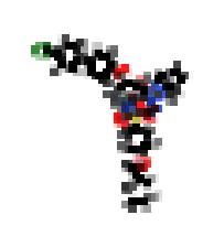 CC(C)(C)OC(=O)NC1C2CCC1CN(C(=O)[C@@H]1C[C@@H](Oc3ccc(-c4ccc(Cl)cc4)cc3)CCN1S(=O)(=O)c1ccc(OCC3CCCCC3)cc1)C2